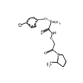 C[C@H](Oc1ccc(Cl)cc1)C(=O)NOCC(=O)N1CCCC1C(F)(F)F